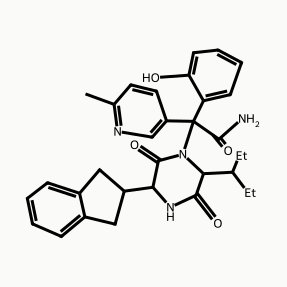 CCC(CC)C1C(=O)NC(C2Cc3ccccc3C2)C(=O)N1C(C(N)=O)(c1ccc(C)nc1)c1ccccc1O